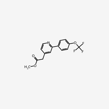 COC(=O)Cc1ccnc(-c2ccc(OC(F)(F)F)cc2)c1